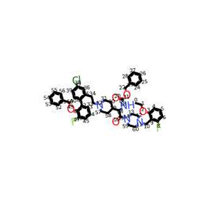 CCOc1cccc(F)c1CN1CCN(C(=O)[C@H](NC(=O)OCc2ccccc2)C2CCN(CCc3cc(Cl)ccc3-c3cccc(F)c3OCc3ccccc3)CC2)CC1